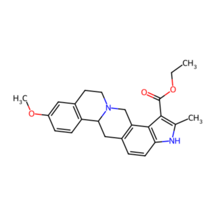 CCOC(=O)c1c(C)[nH]c2ccc3c(c12)CN1CCc2cc(OC)ccc2C1C3